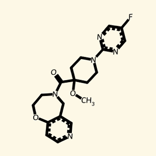 COC1(C(=O)N2CCOc3ccncc3C2)CCN(c2ncc(F)cn2)CC1